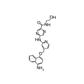 Nc1ccc(OCc2ccnc(Nc3cnc(C(=O)NCCO)cn3)c2)c2ccccc12